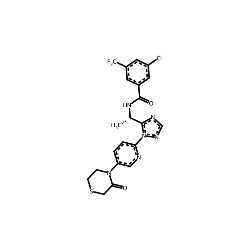 C[C@H](NC(=O)c1cc(Cl)cc(C(F)(F)F)c1)c1ncnn1-c1ccc(N2CCSCC2=O)cn1